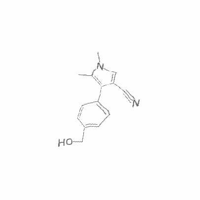 Cc1c(-c2ccc(CO)cc2)c(C#N)cn1C